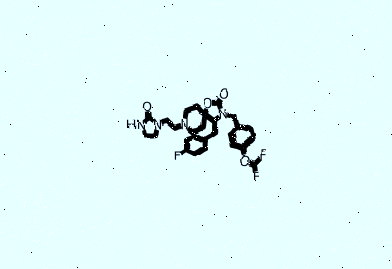 O=C1NCCN1CCN1CCC2(CC1)OC(=O)N(Cc1ccc(OC(F)F)cc1)C2Cc1ccc(F)cc1